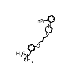 CCCc1ccccc1N1CCN(CCCCOc2cccc(CN(C)C)c2)CC1